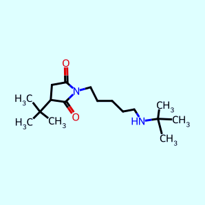 CC(C)(C)NCCCCCN1C(=O)CC(C(C)(C)C)C1=O